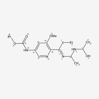 CCS/C(=N\C(C)NC(C)O)c1ncc(NC(=O)OC(C)C)cc1OC